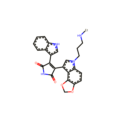 CCNCCCn1cc(C2=C(c3c[nH]c4ccccc34)C(=O)NC2=O)c2c3c(ccc21)OCO3